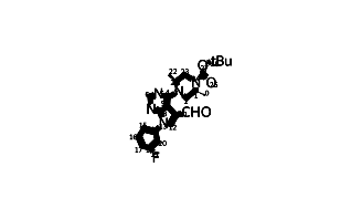 C[C@@H]1CN(c2ncnc3c2c(C=O)cn3-c2cccc(F)c2)[C@@H](C)CN1C(=O)OC(C)(C)C